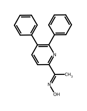 C/C(=N\O)c1ccc(-c2ccccc2)c(-c2ccccc2)n1